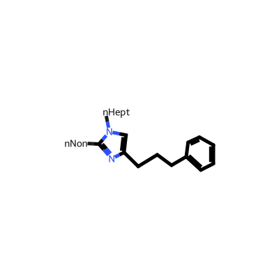 CCCCCCCCCc1nc(CCCc2ccccc2)cn1CCCCCCC